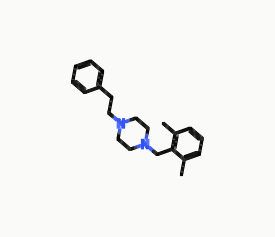 Cc1cccc(C)c1CN1CCN(CCc2ccccc2)CC1